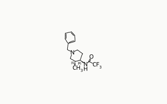 C[C@H]1CN(Cc2ccccc2)CC[C@H]1NC(=O)C(F)(F)F